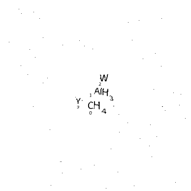 C.[AlH3].[W].[Y]